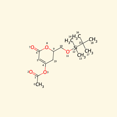 CC(=O)OC1=CC(=O)OC(CO[Si](C)(C)C(C)(C)C)C1